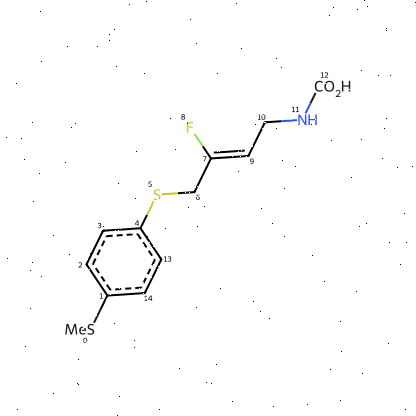 CSc1ccc(SCC(F)=CCNC(=O)O)cc1